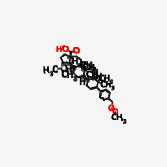 COOCc1ccc(C2=CC[C@]3(C)[C@H]4CC[C@@H]5[C@H]6[C@H](C(C)C)CC[C@]6(C(=O)O)CC[C@@]5(C)[C@]4(C)CC[C@H]3C2(C)C)cc1